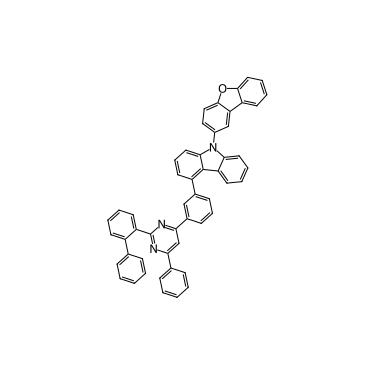 c1ccc(-c2cc(-c3cccc(-c4cccc5c4c4ccccc4n5-c4ccc5oc6ccccc6c5c4)c3)nc(-c3ccccc3-c3ccccc3)n2)cc1